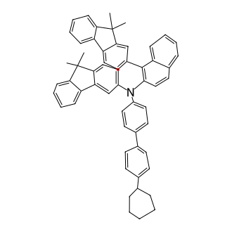 CC1(C)c2ccccc2-c2cc(N(c3ccc(-c4ccc(C5CCCCC5)cc4)cc3)c3ccc4ccccc4c3-c3ccc4c(c3)C(C)(C)c3ccccc3-4)ccc21